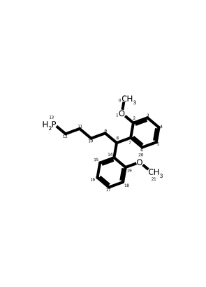 COc1ccccc1C(CCCCP)c1ccccc1OC